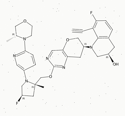 C#Cc1c(F)ccc2c1N([C@@H]1COc3cnc(OC[C@]4(C)C[C@@H](F)CN4c4ccc(N5CCOC[C@H]5C)nc4)nc3C1)C[C@H](O)C2